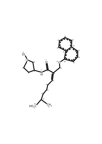 CCN1CCC(NC(=O)C(=CCCCC(C)C(=O)O)COc2cccc3ccccc23)C1